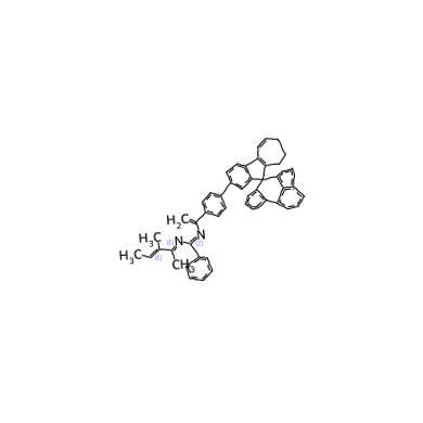 C=C(\N=C(/N=C(C)/C(C)=C/C)c1ccccc1)c1ccc(-c2ccc3c(c2)C2(C4=C3C=CCCC4)c3ccccc3-c3cccc4cccc2c34)cc1